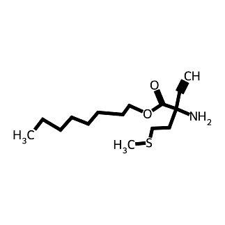 C#CC(N)(CCSC)C(=O)OCCCCCCCC